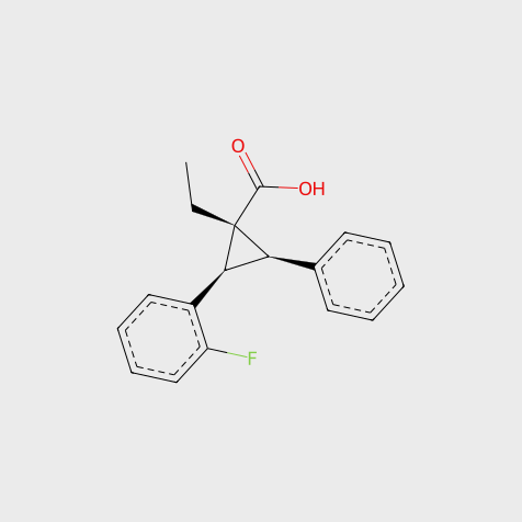 CC[C@]1(C(=O)O)[C@H](c2ccccc2F)[C@@H]1c1ccccc1